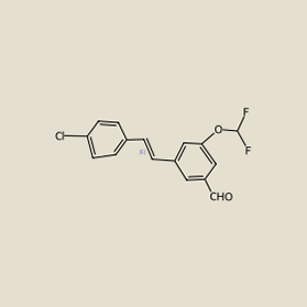 O=Cc1cc(/C=C/c2ccc(Cl)cc2)cc(OC(F)F)c1